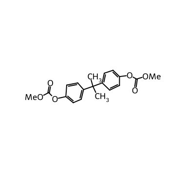 COC(=O)Oc1ccc(C(C)(C)c2ccc(OC(=O)OC)cc2)cc1